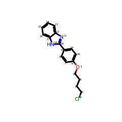 ClCCCCOc1ccc(-c2nc3ccccc3[nH]2)cc1